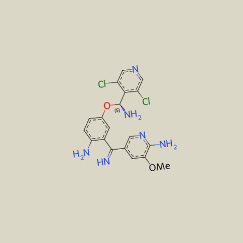 COc1cc(C(=N)c2cc(O[C@H](N)c3c(Cl)cncc3Cl)ccc2N)cnc1N